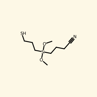 CO[Si](CCCS)(CCCC#N)OC